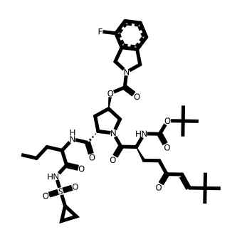 CCCC(NC(=O)[C@@H]1C[C@@H](OC(=O)N2Cc3cccc(F)c3C2)CN1C(=O)[C@H](CCC(=O)/C=C/C(C)(C)C)NC(=O)OC(C)(C)C)C(=O)NS(=O)(=O)C1CC1